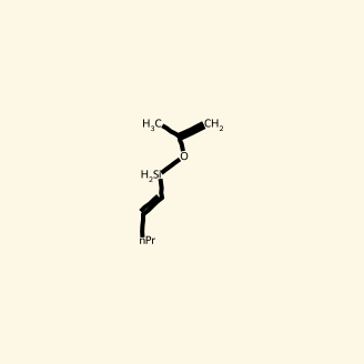 C=C(C)O[SiH2]C=CCCC